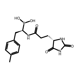 Cc1ccc(C[C@H](NC(=O)CC[C@@H]2NC(=O)NC2=O)B(O)O)cc1